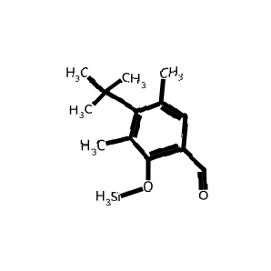 Cc1cc(C=O)c(O[SiH3])c(C)c1C(C)(C)C